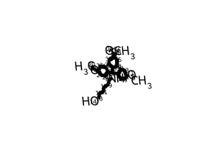 COc1ccc(C(NCCCCCCO)(c2ccc(OC)cc2)c2ccc([S+](C)[O-])cc2)cc1